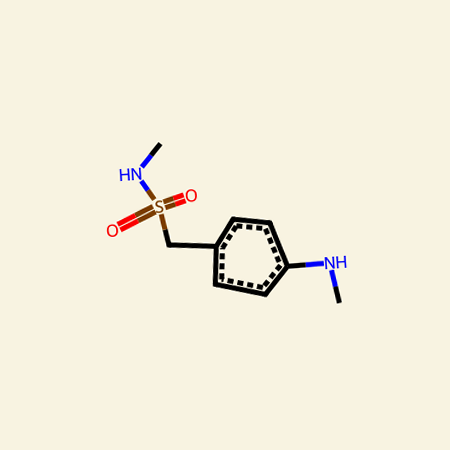 CNc1ccc(CS(=O)(=O)NC)cc1